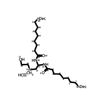 CCCCCCCCCCCCCCCCCC(=O)NC(CN(C)CCO)NC(=O)CCCCCCCCCCCCCCCCC.Cl